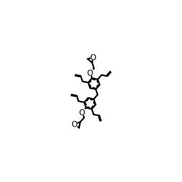 C=CCc1cc(Cc2cc(CC=C)c(OCC3CO3)c(CC=C)c2)cc(CC=C)c1OCC1CO1